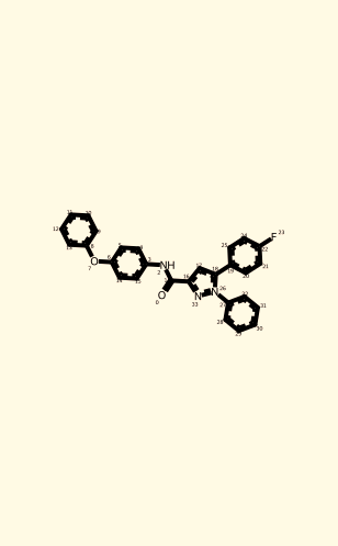 O=C(Nc1ccc(Oc2ccccc2)cc1)c1cc(-c2ccc(F)cc2)n(-c2ccccc2)n1